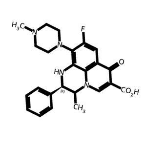 CC1[C@@H](c2ccccc2)Nc2c(N3CCN(C)CC3)c(F)cc3c(=O)c(C(=O)O)cn1c23